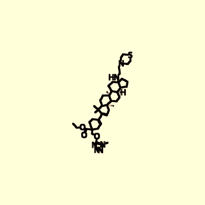 CCOC(=O)C1(COc2nnnn2C)CC=C(C2=CC[C@@]3(C)C(CC[C@@]4(C)C5CC[C@@]6(NCCN7CCSCC7)CCCC6[C@H]5CCC43)C2(C)C)CC1